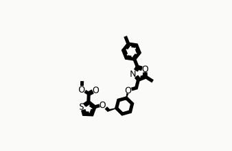 COC(=O)c1sccc1OC[C@@H]1CCC[C@H](OCc2nc(-c3ccc(C)cc3)oc2C)C1